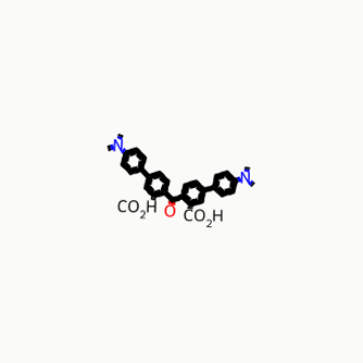 CN(C)c1ccc(-c2ccc(C(=O)c3ccc(-c4ccc(N(C)C)cc4)cc3C(=O)O)c(C(=O)O)c2)cc1